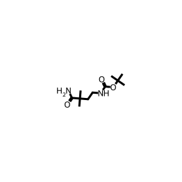 CC(C)(C)OC(=O)NCCC(C)(C)C(N)=O